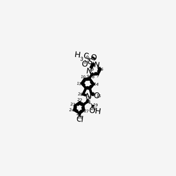 CS(=O)(=O)c1nccc(-c2ccc3c(c2)C(=O)N([C@H](CO)c2cccc(Cl)c2)C3)n1